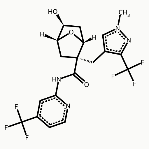 Cn1cc(C[C@]2(C(=O)Nc3cc(C(F)(F)F)ccn3)C[C@H]3O[C@@H]2C[C@@H]3O)c(C(F)(F)F)n1